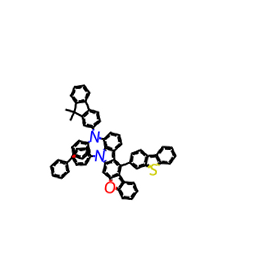 CC1(C)c2ccccc2-c2ccc(N(c3ccc(-c4ccccc4)cc3)c3cccc4c5c(-c6ccc7c(c6)sc6ccccc67)c6c(cc5n(-c5ccccc5)c34)oc3ccccc36)cc21